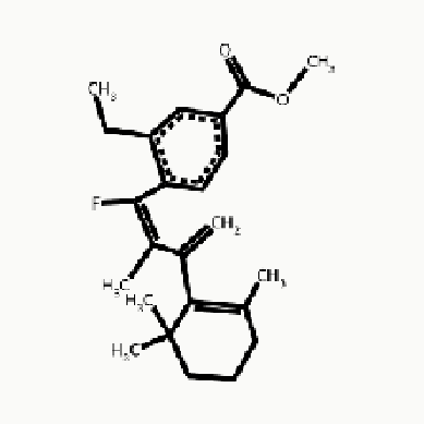 C=C(C(C)=C(F)c1ccc(C(=O)OC)cc1CC)C1=C(C)CCCC1(C)C